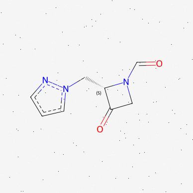 O=CN1CC(=O)[C@@H]1Cn1cccn1